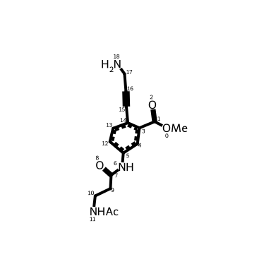 COC(=O)c1cc(NC(=O)CCNC(C)=O)ccc1C#CCN